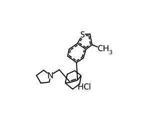 Cc1csc2ccc(C3=C(CN4CCCC4)C4CCC3CC4)cc12.Cl